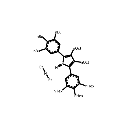 CCCCCCCCC1=C(c2cc(CCCC)c(CCCC)c(CCCC)c2)[N+](=[N-])C(c2cc(CCCCCC)c(CCCCCC)c(CCCCCC)c2)=C1CCCCCCCC.C[CH2][Ni][CH2]C